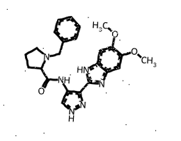 COc1cc2nc(-c3n[nH]cc3NC(=O)C3CCCN3Cc3ccccc3)[nH]c2cc1OC